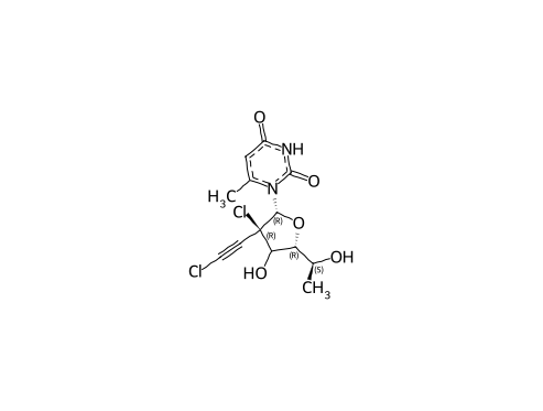 Cc1cc(=O)[nH]c(=O)n1[C@@H]1O[C@H]([C@H](C)O)C(O)[C@]1(Cl)C#CCl